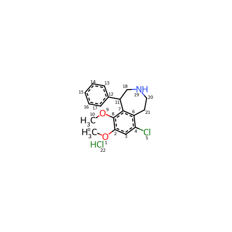 COc1cc(Cl)c2c(c1OC)C(c1ccccc1)CNCC2.Cl